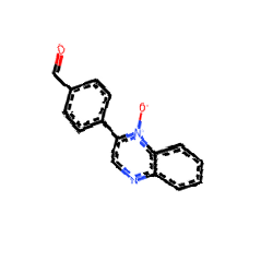 O=Cc1ccc(-c2cnc3ccccc3[n+]2[O-])cc1